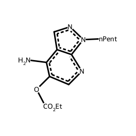 CCCCCn1ncc2c(N)c(OC(=O)OCC)cnc21